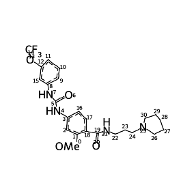 COc1cc(NC(=O)Nc2cccc(OC(F)(F)F)c2)ccc1C(=O)NCCCN1CCCCC1